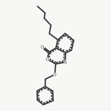 CCCCCc1cccc2nc(OCc3ccccc3)oc(=O)c12